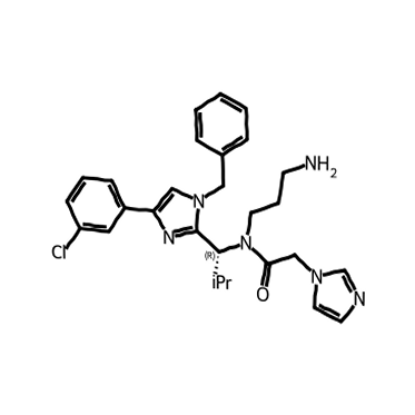 CC(C)[C@H](c1nc(-c2cccc(Cl)c2)cn1Cc1ccccc1)N(CCCN)C(=O)Cn1ccnc1